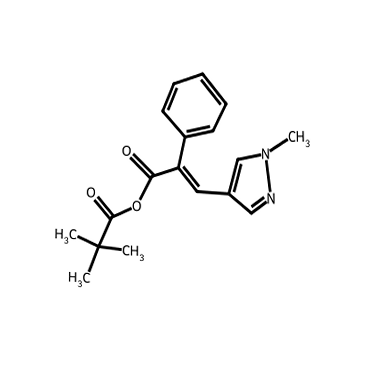 Cn1cc(/C=C(/C(=O)OC(=O)C(C)(C)C)c2ccccc2)cn1